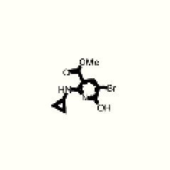 COC(=O)c1cc(Br)c(O)nc1NC1CC1